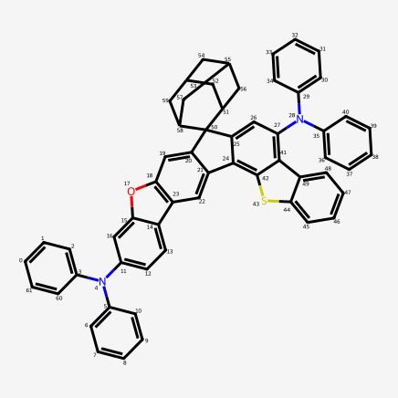 c1ccc(N(c2ccccc2)c2ccc3c(c2)oc2cc4c(cc23)-c2c(cc(N(c3ccccc3)c3ccccc3)c3c2sc2ccccc23)C42C3CC4CC(C3)CC2C4)cc1